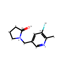 Cc1ncc(CN2CCCC2=O)cc1F